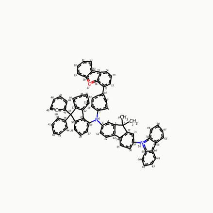 CC1(C)c2cc(N(c3ccc(-c4cccc5c4oc4ccccc45)cc3)c3cccc4c3-c3ccccc3C4(c3ccccc3)c3ccccc3)ccc2-c2ccc(-n3c4ccccc4c4ccccc43)cc21